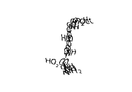 CCCCCCCCC(=O)NC(CCC(=O)NCCOCCOCC(=O)NCCOCCOCC(=O)NCCCC[C@H](CC(=O)C(C)(C)NC(=O)[C@@H](N)Cc1cnc[nH]1)C(=O)O)C(=O)O